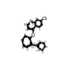 Clc1ccc2c(Oc3ccccc3-c3ccccc3)ccnc2c1